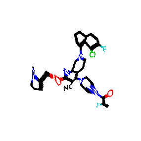 C=C(F)C(=O)N1CCN(c2c(C#N)c(OCC3CCCN3C)nc3c2CCN(c2cccc4ccc(F)c(Cl)c24)C3)CC1